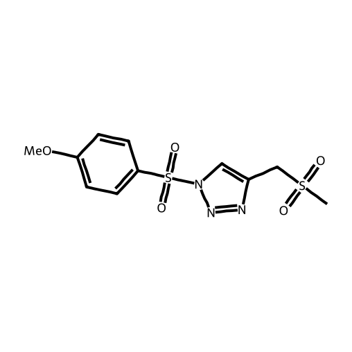 COc1ccc(S(=O)(=O)n2cc(CS(C)(=O)=O)nn2)cc1